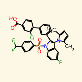 Cc1ccc(C)n1-c1c(-c2cccc(-c3ccc(C(=O)O)cc3Cl)c2)n(S(=O)(=O)c2ccc(C(F)F)cc2)c2ccc(F)cc12